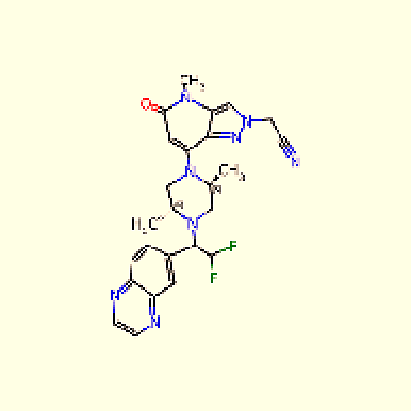 C[C@@H]1CN(c2cc(=O)n(C)c3cn(CC#N)nc23)[C@@H](C)CN1C(c1ccc2nccnc2c1)C(F)F